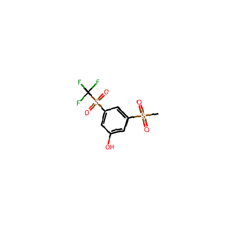 CS(=O)(=O)c1cc(O)cc(S(=O)(=O)C(F)(F)F)c1